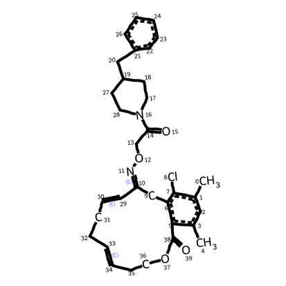 Cc1cc(C)c2c(c1Cl)CC(=N\OCC(=O)N1CCC(Cc3ccccc3)CC1)/C=C/CC/C=C/CCOC2=O